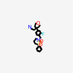 N#CCC1(c2ccc(CN3CCC[C@H](c4ccccc4)S3(=O)=O)c(F)c2)CCOCC1